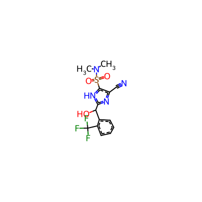 CN(C)S(=O)(=O)c1[nH]c(C(O)c2ccccc2C(F)(F)F)nc1C#N